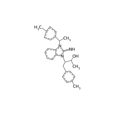 Cc1ccc(CC(C(C)O)n2c(=N)n(C(C)c3ccc(C)cc3)c3ccccc32)cc1